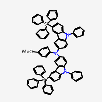 COc1ccc(N(c2ccc3c(c2)c2cc([Si](c4ccccc4)(c4ccccc4)c4ccccc4)ccc2n3-c2ccccc2)c2ccc3c(c2)c2cc([Si](c4ccccc4)(c4ccccc4)c4ccccc4)ccc2n3-c2ccccc2)cc1